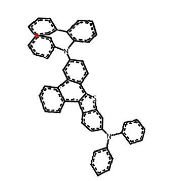 c1ccc(-c2ccccc2N(c2ccccc2)c2ccc3c(c2)c2ccccc2c2c4ccc(N(c5ccccc5)c5ccccc5)cc4sc32)cc1